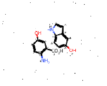 Nc1ccc(O)cc1C(=O)O.Oc1ccc2[nH]ccc2c1